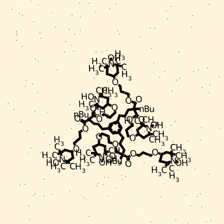 CCCCC(CCCc1cc(CCCC(CCCC)(C(=O)OCCCOC2CC(C)(C)N(O)C(C)(C)C2)C(=O)OCCCOC2CC(C)(C)N(O)C(C)(C)C2)cc(CCCC(CCCC)(C(=O)OCCCOC2CC(C)(C)N(O)C(C)(C)C2)C(=O)OCCCOC2CC(C)(C)N(O)C(C)(C)C2)c1)(C(=O)OCCCOC1CC(C)(C)N(O)C(C)(C)C1)C(=O)OCCCOC1CC(C)(C)N(O)C(C)(C)C1